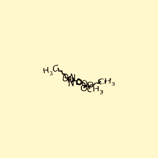 CCCCCCOc1cnc(-c2ccc(OC(=O)C(C)OCCCC)cc2)nc1